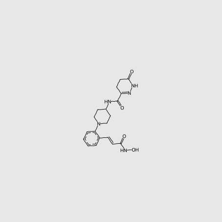 O=C(C=Cc1ccccc1N1CCC(NC(=O)C2=NNC(=O)CC2)CC1)NO